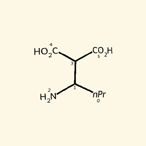 CCCC(N)C(C(=O)O)C(=O)O